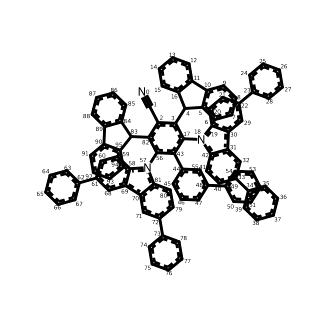 N#Cc1c(C2c3ccccc3-c3ccccc32)c(-n2c3ccc(-c4ccccc4)cc3c3cc(-c4ccccc4)ccc32)c(-c2cccc(-c3ccccc3)c2)c(-n2c3ccc(-c4ccccc4)cc3c3cc(-c4ccccc4)ccc32)c1C1c2ccccc2-c2ccccc21